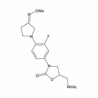 CON=C1CCN(c2ccc(N3CC(CNC(C)=O)OC3=O)cc2F)C1